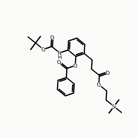 CC(C)(C)OC(=O)Nc1cccc(CCC(=O)OCC[Si](C)(C)C)c1OC(=O)c1ccccc1